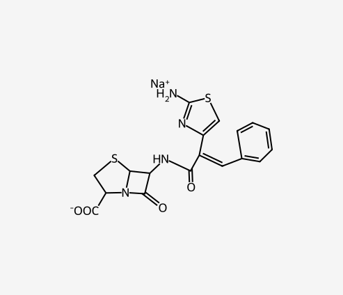 Nc1nc(/C(=C\c2ccccc2)C(=O)NC2C(=O)N3C(C(=O)[O-])CSC23)cs1.[Na+]